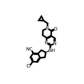 N#Cc1cc(Cl)cc2c1C[C@@H](Nc1ncc3c(n1)CCN(CC1CC1)C3=O)C2